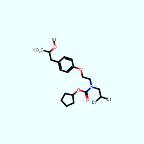 CCOC(Cc1ccc(OCCN(CC(CC)CC)C(=O)OC2CCCC2)cc1)C(=O)O